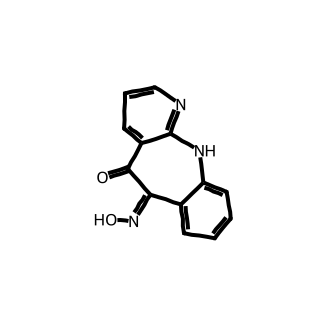 O=c1c(=NO)c2ccccc2[nH]c2ncccc12